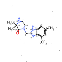 Cc1cc(C(F)(F)F)c2nc(CN3CCNC(C)(C)C3=O)[nH]c2c1